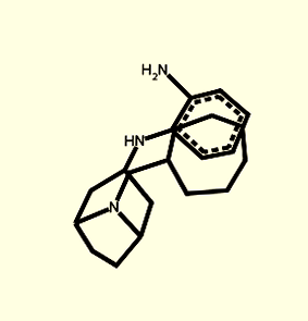 Nc1ccccc1NC1CC2CCC(C1)N2CC1CCCCCC1